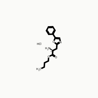 CCCCOC(=O)[C@@H](N)Cc1ncc(-c2ccccc2)o1.Cl